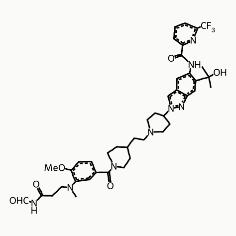 COc1ccc(C(=O)N2CCC(CCN3CCC(n4cc5cc(NC(=O)c6cccc(C(F)(F)F)n6)c(C(C)(C)O)cc5n4)CC3)CC2)cc1N(C)CCC(=O)NC=O